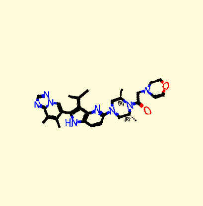 Cc1c(-c2[nH]c3ccc(N4C[C@@H](C)N(C(=O)CN5CCOCC5)[C@H](C)C4)nc3c2C(C)C)cn2ncnc2c1C